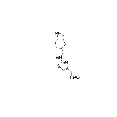 NC1CCC(CNc2nc(CC=O)cs2)CC1